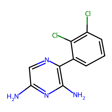 Nc1cnc(-c2cccc(Cl)c2Cl)c(N)n1